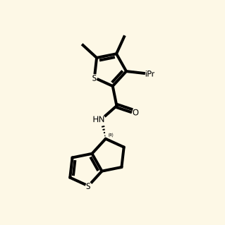 Cc1sc(C(=O)N[C@@H]2CCc3sccc32)c(C(C)C)c1C